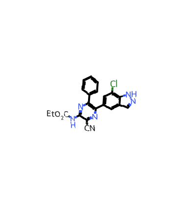 CCOC(=O)Nc1nc(-c2ccccc2)c(-c2cc(Cl)c3[nH]ncc3c2)nc1C#N